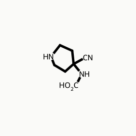 N#CC1(NC(=O)O)CCNCC1